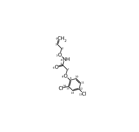 C=CCONC(=O)COc1ccc(Cl)cc1Cl